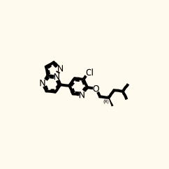 CC(C)C[C@@H](C)COc1ncc(-c2ccnc3ccnn23)cc1Cl